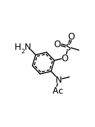 CC(=O)N(C)c1ccc(N)cc1OS(C)(=O)=O